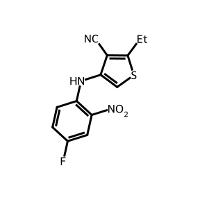 CCc1scc(Nc2ccc(F)cc2[N+](=O)[O-])c1C#N